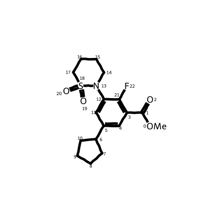 COC(=O)c1cc(C2CCCC2)cc(N2CCCCS2(=O)=O)c1F